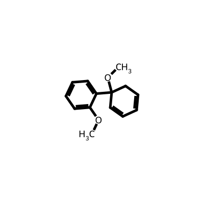 COc1ccccc1C1(OC)C=CC=CC1